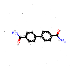 NC(=O)c1ccc(-c2ccc(C(N)=O)cc2)cc1